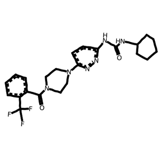 O=C(Nc1ccc(N2CCN(C(=O)c3ccccc3C(F)(F)F)CC2)nn1)NC1CCCCC1